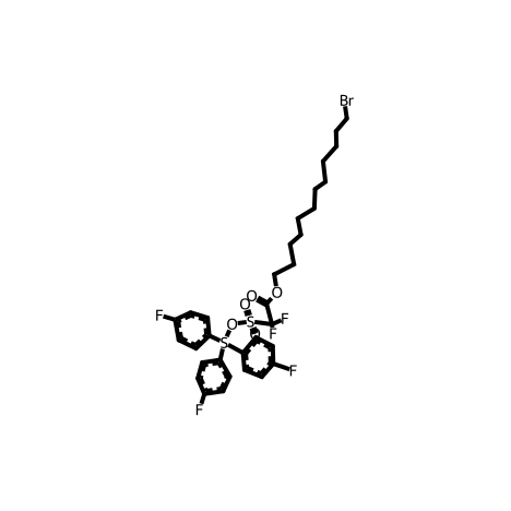 O=C(OCCCCCCCCCCCCBr)C(F)(F)S(=O)(=O)OS(c1ccc(F)cc1)(c1ccc(F)cc1)c1ccc(F)cc1